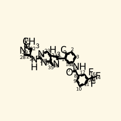 Cc1ccc(NC(=O)c2cccc(C(F)(F)F)c2)cc1-c1cc2cnc(Nc3cnn(C)c3)nc2cn1